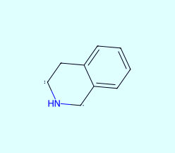 [C]1Cc2ccccc2[CH]N1